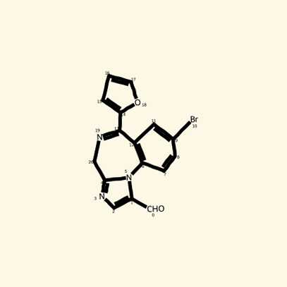 O=Cc1cnc2n1-c1ccc(Br)cc1C(c1ccco1)=NC2